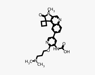 CN(C)CCCOc1ncc(-c2ccc3ncc4c(c3c2)C2(CCC2)C(=O)N4C)cc1NC(=O)O